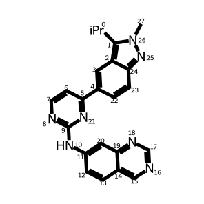 CC(C)c1c2cc(-c3ccnc(Nc4ccc5cncnc5c4)n3)ccc2nn1C